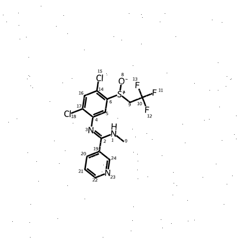 CN/C(=N\c1cc([S+]([O-])CC(F)(F)F)c(Cl)cc1Cl)c1cccnc1